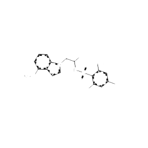 COc1cccc2c1ccn2CC(NS(=O)(=O)c1c(C)cc(C)cc1C)C(F)(F)F